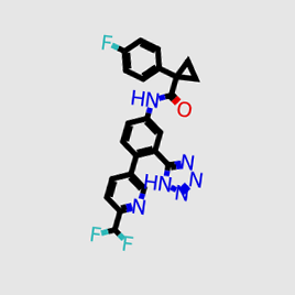 O=C(Nc1ccc(-c2ccc(C(F)F)nc2)c(-c2nnn[nH]2)c1)C1(c2ccc(F)cc2)CC1